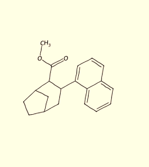 COC(=O)C1C2CCC(C2)CC1c1cccc2ccccc12